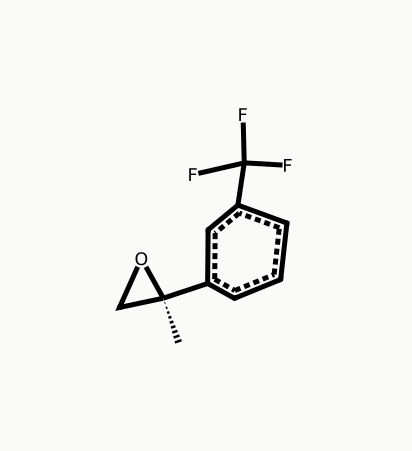 C[C@]1(c2cccc(C(F)(F)F)c2)CO1